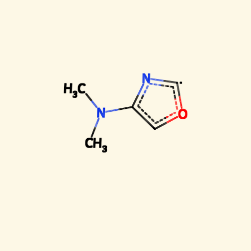 CN(C)c1co[c]n1